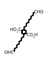 O=CCCCCCCCCCc1cc(C(=O)O)c(CCCCCCCCCC=O)cc1C(=O)O